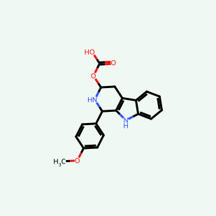 COc1ccc(C2NC(OC(=O)O)Cc3c2[nH]c2ccccc32)cc1